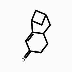 O=C1C=C2C(CC1)CC1CC2C1